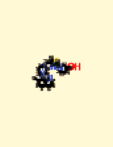 Cc1ccc2cccnc2c1N1CCCN(Cc2csc(N3CCC[C@H](O)C3)n2)CC1